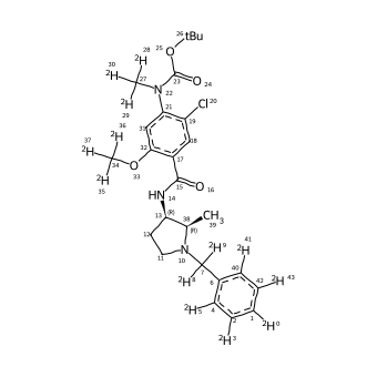 [2H]c1c([2H])c([2H])c(C([2H])([2H])N2CC[C@@H](NC(=O)c3cc(Cl)c(N(C(=O)OC(C)(C)C)C([2H])([2H])[2H])cc3OC([2H])([2H])[2H])[C@H]2C)c([2H])c1[2H]